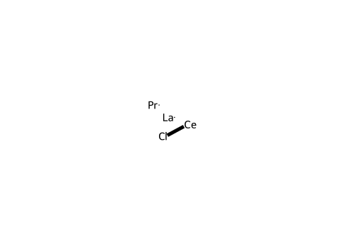 [Cl][Ce].[La].[Pr]